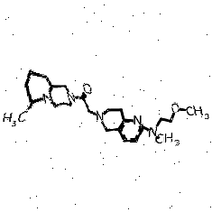 COCCN(C)c1ccc2c(n1)CCN(CC(=O)N1CCN3C(C)CCCC3C1)C2